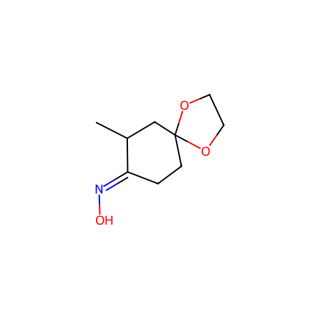 CC1CC2(CC/C1=N\O)OCCO2